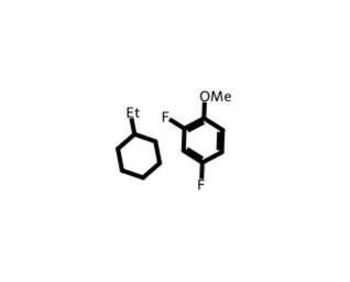 COc1ccc(F)cc1F.[CH2]CC1CCCCC1